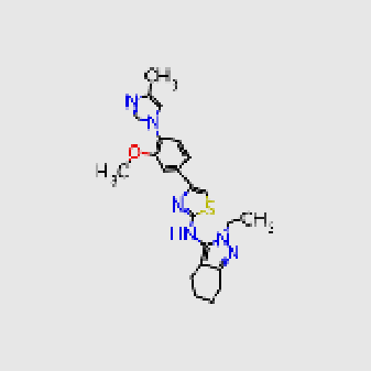 CCn1nc2c(c1Nc1nc(-c3ccc(-n4cnc(C)c4)c(OC)c3)cs1)CCCC2